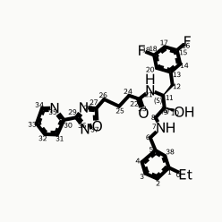 CCc1cccc(CNC[C@H](O)[C@H](Cc2cc(F)cc(F)c2)NC(=O)CCCc2nc(-c3ccccn3)no2)c1